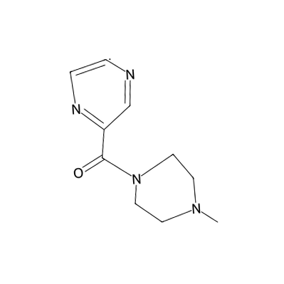 CN1CCN(C(=O)c2cn[c]cn2)CC1